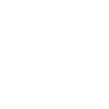 C#CCC(CC(=C)C=C)c1ccc(C(C)=S)cc1